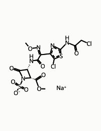 CO/N=C(\C(=O)N[C@H]1C(=O)N(S(=O)(=O)[O-])[C@H]1C(=O)OC)c1nc(NC(=O)CCl)sc1Cl.[Na+]